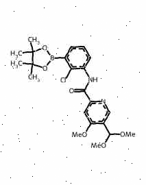 COc1cc(C(=O)Nc2cccc(B3OC(C)(C)C(C)(C)O3)c2Cl)ncc1C(OC)OC